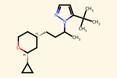 CC(CC[C@H]1CCO[C@@H](C2CC2)C1)n1nccc1C(C)(C)C